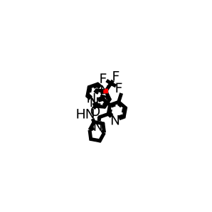 Cc1ccnc(C(=O)N2C3CCC2C(Nc2ccc(C(F)(F)F)cn2)C3)c1-c1ncccn1